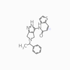 CC(c1ccccc1)N1Cc2n[nH]c(NC(=O)/C=C\c3cccs3)c2C1